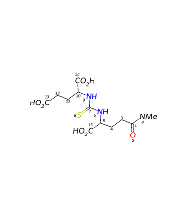 CNC(=O)CCC(NC(=S)NC(CCC(=O)O)C(=O)O)C(=O)O